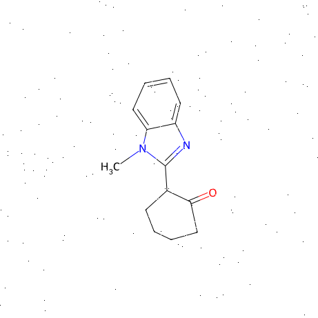 Cn1c(C2CCCCC2=O)nc2ccccc21